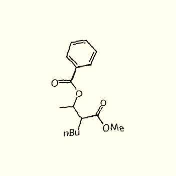 CCCCC(C(=O)OC)C(C)OC(=O)c1ccccc1